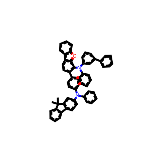 CC1(C)c2ccccc2-c2ccc(N(c3ccccc3)c3ccc(-c4ccc5c(oc6ccccc65)c4N(c4ccccc4)c4cccc(-c5ccccc5)c4)cc3)cc21